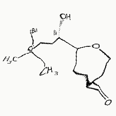 CC(C)(C)[Si](C)(C)[C@H](O)C1CC(=O)CO1